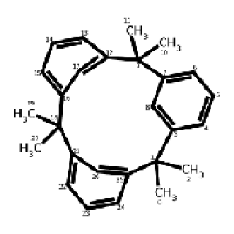 CC1(C)c2cccc(c2)C(C)(C)c2cccc(c2)C(C)(C)c2cccc1c2